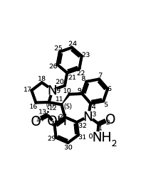 NC(=O)N1c2ccccc2C[C@H]([C@@]2(C(=O)O)CCCN2Cc2ccccc2)c2ccccc21